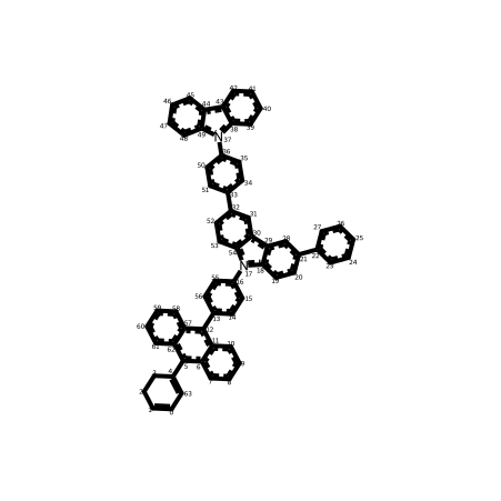 C1=CCCC(c2c3ccccc3c(-c3ccc(-n4c5ccc(-c6ccccc6)cc5c5cc(-c6ccc(-n7c8ccccc8c8ccccc87)cc6)ccc54)cc3)c3ccccc23)=C1